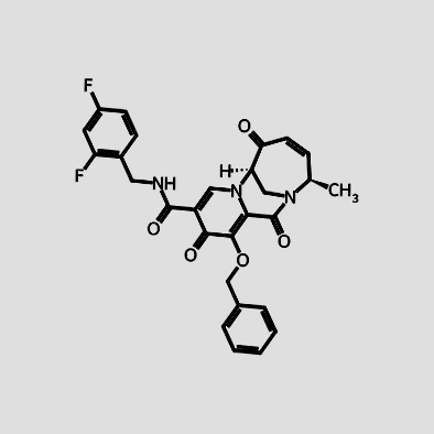 C[C@@H]1C=CC(=O)[C@H]2CN1C(=O)c1c(OCc3ccccc3)c(=O)c(C(=O)NCc3ccc(F)cc3F)cn12